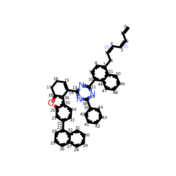 C=C/C=C\C=C/Cc1ccc(-c2nc(C3=CCCc4oc5cc(-c6cccc7ccccc67)ccc5c43)nc(-c3ccccc3)n2)c2ccccc12